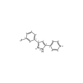 Fc1cccc(-c2cc(-c3ccncc3)[nH]n2)c1